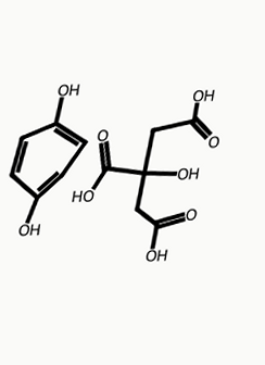 O=C(O)CC(O)(CC(=O)O)C(=O)O.Oc1ccc(O)cc1